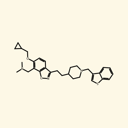 CN(C)Cc1c(OCC2CC2)ccc2c(CCC3CCN(Cc4csc5ccccc45)CC3)noc12